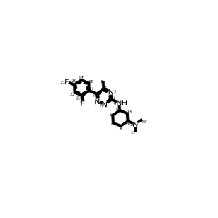 Cc1nc(NC2CCCC(N(C)C)C2)nnc1-c1ccc(F)cc1F